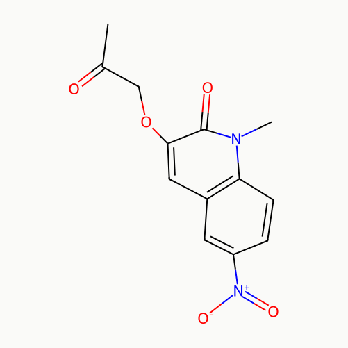 CC(=O)COc1cc2cc([N+](=O)[O-])ccc2n(C)c1=O